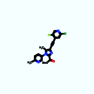 COC(=O)c1nc(C#Cc2cc(Cl)ncc2F)c(C)n1-c1ccc(C)nc1